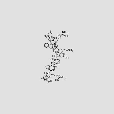 CC(=O)NC(=O)[C@H](CC(C)C)N[C@@H](CCCNC(=N)N)C(=O)N1CCC[C@H]1C(=O)N[C@@H](C)C(=O)N[C@H](C(=O)N[C@@H](CC(=O)O)C(=O)N[C@@H](CCCCN)C(=O)N[C@@H](Cc1ccccc1)C(=O)N[C@@H](CCCNC(=N)N)C(=O)N[C@@H](CC(C)C)C(N)=O)[C@@H](C)O